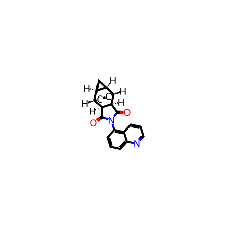 O=C1[C@@H]2[C@@H]3CC[C@@H]([C@H]4C[C@H]43)[C@@H]2C(=O)N1c1cccc2ncccc12